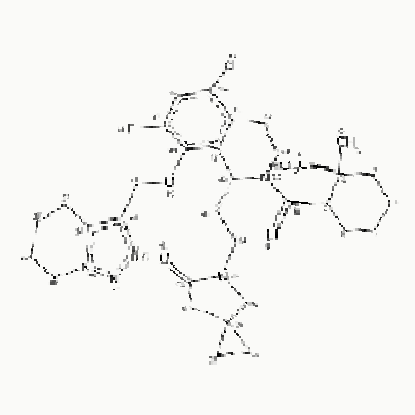 C[C@]1(C(=O)O)CCCC[C@H]1C(=O)N1CCc2c(Cl)cc(F)c(OCc3nnn4c3CCCC4)c2[C@H]1CCN1CC2(CC2)CC1=O